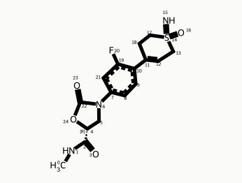 CNC(=O)[C@H]1CN(c2ccc(C3=CCS(=N)(=O)CC3)c(F)c2)C(=O)O1